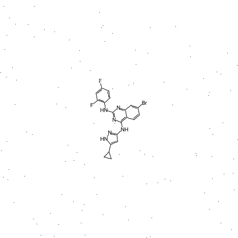 Fc1ccc(Nc2nc(Nc3cc(C4CC4)[nH]n3)c3ccc(Br)cc3n2)c(F)c1